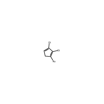 CCC1=CC[C]([Ru])=C1CC